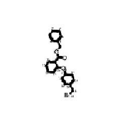 O=C(OCc1ccccc1)c1ccccc1Oc1ccc(CBr)cc1